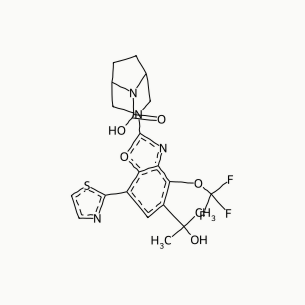 CC(C)(O)c1cc(-c2nccs2)c2oc(N3CC4CCC(C3)N4C(=O)O)nc2c1OC(F)(F)F